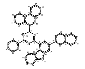 c1ccc(C2=NC(c3cc(-c4ccc5ccccc5c4)cc4oc5ccccc5c34)=NC(c3cc4ccccc4c4ccccc34)N2)cc1